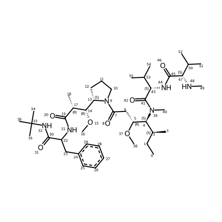 CC[C@H](C)[C@@H]([C@@H](CC(=O)N1CCC[C@H]1[C@H](OC)[C@@H](C)C(=O)NC(Cc1ccccc1)C(=O)NC(C)(C)C)OC)N(C)C(=O)[C@@H](NC(=O)[C@@H](NC)C(C)C)C(C)C